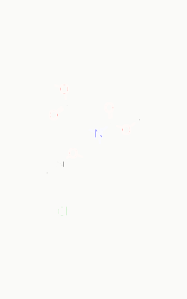 COC(=O)CCN(C[C@@H](O[Si](C)(C)C(C)(C)C)c1cccc(Cl)c1)C(=O)OC(C)(C)C